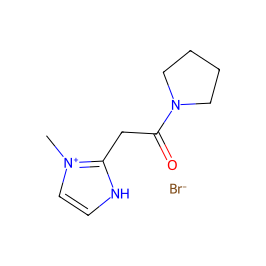 C[n+]1cc[nH]c1CC(=O)N1CCCC1.[Br-]